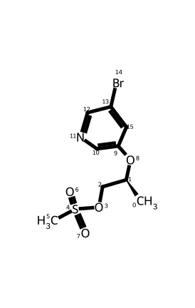 C[C@@H](COS(C)(=O)=O)Oc1cncc(Br)c1